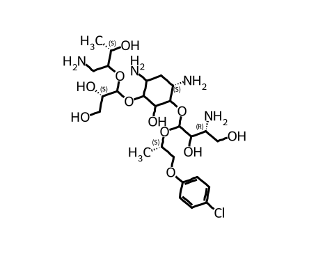 C[C@H](O)C(CN)OC(OC1C(N)C[C@H](N)C(OC(O[C@@H](C)COc2ccc(Cl)cc2)C(O)[C@H](N)CO)C1O)[C@@H](O)CO